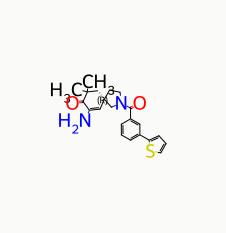 CC1(C)C[C@]2(C=C(N)C1=O)CCN(C(=O)c1cccc(-c3cccs3)c1)C2